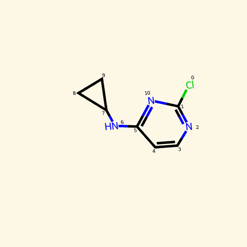 Clc1nccc(NC2CC2)n1